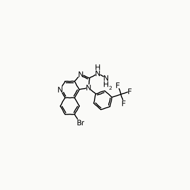 NNc1nc2cnc3ccc(Br)cc3c2n1-c1cccc(C(F)(F)F)c1